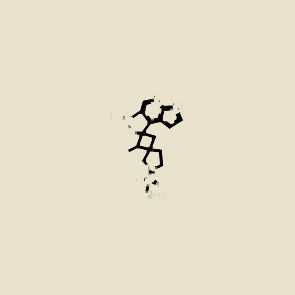 CCCCS(=O)(=O)N1CCC2(C1)CC1(OB(O)c3cnc4[nH]ccc4c31)C2C